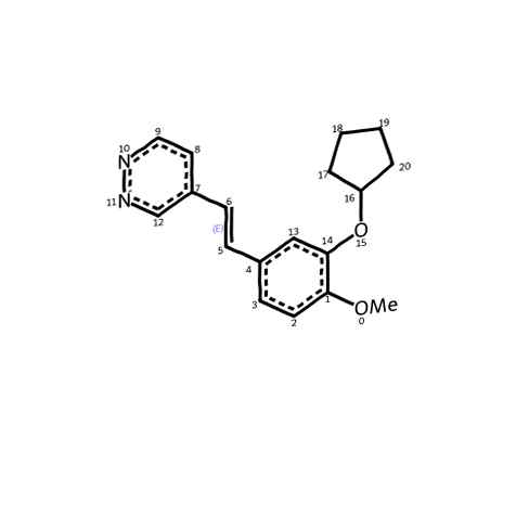 COc1ccc(/C=C/c2ccnnc2)cc1OC1CCCC1